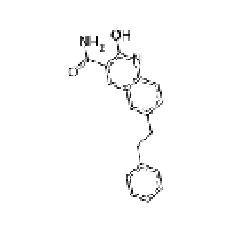 NC(=O)c1cc2cc(CCc3ccccc3)ccc2nc1O